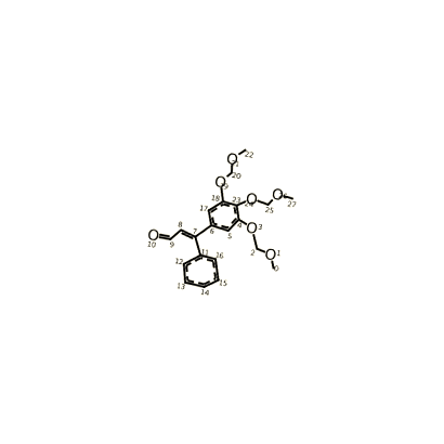 COCOc1cc(C(=CC=O)c2ccccc2)cc(OCOC)c1OCOC